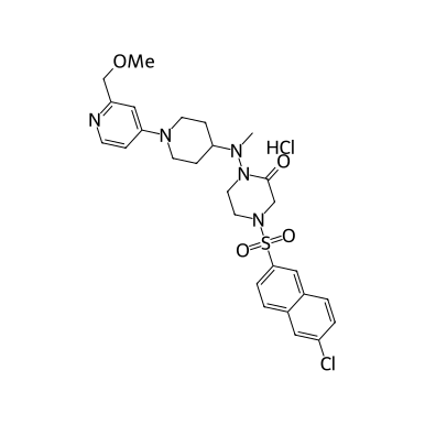 COCc1cc(N2CCC(N(C)N3CCN(S(=O)(=O)c4ccc5cc(Cl)ccc5c4)CC3=O)CC2)ccn1.Cl